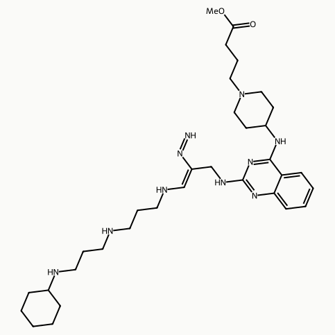 COC(=O)CCCN1CCC(Nc2nc(NC/C(=C/NCCCNCCCNC3CCCCC3)N=N)nc3ccccc23)CC1